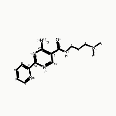 CN(C)CCCNC(=O)c1cnc(-c2ccccn2)nc1N